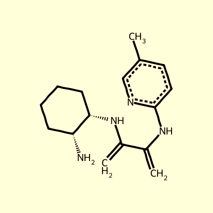 C=C(Nc1ccc(C)cn1)C(=C)N[C@H]1CCCC[C@H]1N